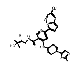 Cc1ncc(C2CCC(Nc3cc(-c4ccc5cc(C#N)cnn45)ncc3C(=O)NC[C@@H](F)C(C)(C)O)CC2)s1